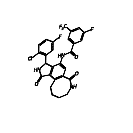 O=C(Nc1cc2c(c3c1C(c1cc(F)ccc1Cl)NC3=O)CCCCNC2=O)c1cc(F)cc(C(F)(F)F)c1